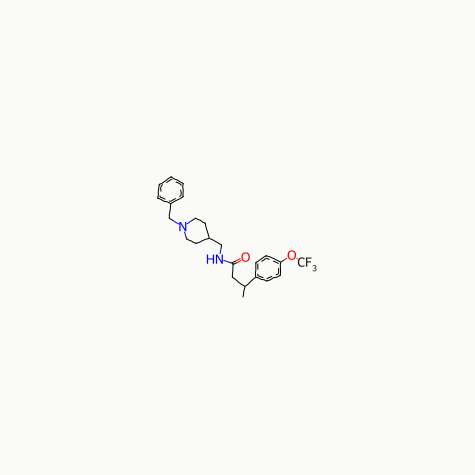 CC(CC(=O)NCC1CCN(Cc2ccccc2)CC1)c1ccc(OC(F)(F)F)cc1